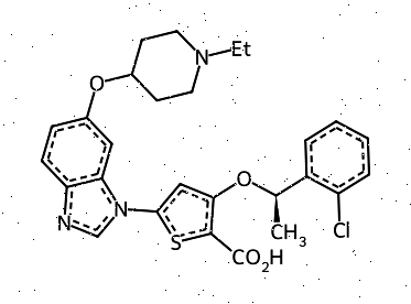 CCN1CCC(Oc2ccc3ncn(-c4cc(O[C@H](C)c5ccccc5Cl)c(C(=O)O)s4)c3c2)CC1